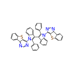 c1ccc(-c2c(-c3c(-c4ccccc4)n(-c4ncnc5c4sc4ccccc45)c4ccccc34)c3ccccc3n2-c2ncnc3c2sc2ccccc23)cc1